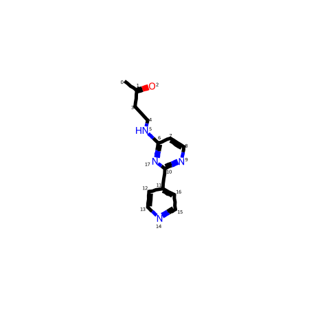 CC(=O)CCNc1ccnc(-c2ccncc2)n1